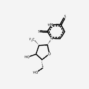 OC[C@H]1O[C@@H](n2ccc(=S)[nH]c2=S)[C@@H](C(F)(F)F)C1O